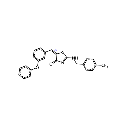 O=C1N=C(NCc2ccc(C(F)(F)F)cc2)S/C1=C/c1cccc(Oc2ccccc2)c1